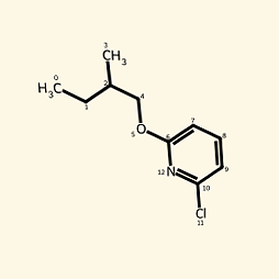 CCC(C)COc1cccc(Cl)n1